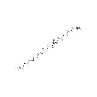 NCCCCCCCCNCCCCNCCCCCCCCN